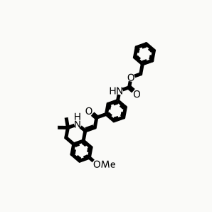 COc1ccc2c(c1)/C(=C/C(=O)c1cccc(NC(=O)OCc3ccccc3)c1)NC(C)(C)C2